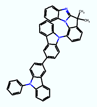 CC1(C)c2cccc(-n3c4ccccc4c4cc(-c5ccc6c(c5)c5ccccc5n6-c5ccccc5)ccc43)c2-n2c1nc1ccccc12